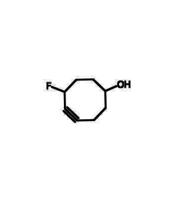 OC1CCC#CC(F)CC1